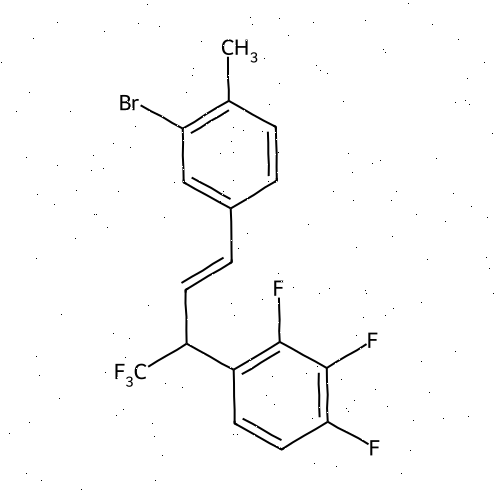 Cc1ccc(/C=C/C(c2ccc(F)c(F)c2F)C(F)(F)F)cc1Br